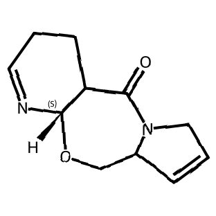 O=C1C2CCC=N[C@H]2OCC2C=CCN12